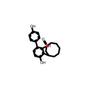 O=[PH]1c2c(-c3ccc(O)cc3)ccc(O)c2C2CCCCC1CC2